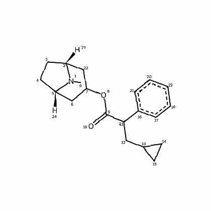 CN1[C@@H]2CC[C@H]1CC(OC(=O)C(CC1CC1)c1ccccc1)C2